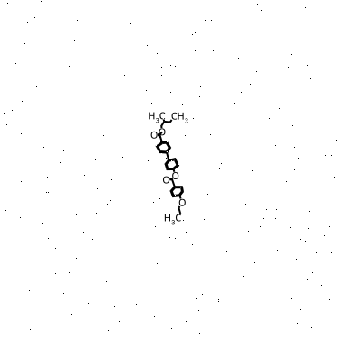 CCCOc1ccc(C(=O)Oc2ccc(-c3ccc(C(=O)OCC(C)CC)cc3)cc2)cc1